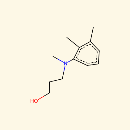 Cc1cccc(N(C)CCCO)c1C